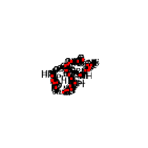 CC(C)N(CC1=CN(CCOCCOCCOc2cc(C(=O)NCc3ccc(C(=O)ON4C(=O)CCC4=O)cc3)cc(OCCOCCOCCN3C=C(CN(c4ccc5cc(-c6nc7ccccc7s6)c(=O)oc5c4)C(C)C)NN3)c2OCCOCCOCCN2C=C(CN(c3ccc4cc(-c5nc6ccccc6s5)c(=O)oc4c3)C(C)C)NN2)NN1)c1ccc2cc(-c3nc4ccccc4s3)c(=O)oc2c1